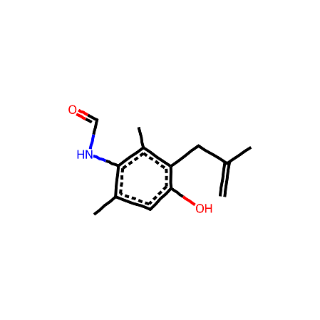 C=C(C)Cc1c(O)cc(C)c(NC=O)c1C